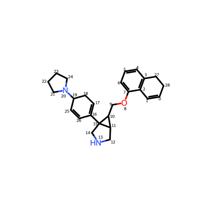 C1=Cc2c(cccc2OCC2C3CNCC32C2=CCC(N3CCCC3)C=C2)CC1